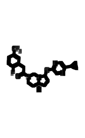 O=C(Cc1cc(C(F)(F)F)ccc1F)N1CC[C@@H]2CC[C@H](Oc3cnc(C4CC4)cn3)N2C1